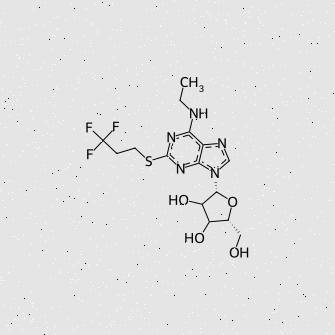 CCNc1nc(SCCC(F)(F)F)nc2c1ncn2[C@@H]1O[C@H](CO)C(O)C1O